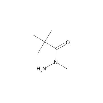 CN(N)C(=O)C(C)(C)C